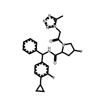 Cc1nnnn1CC(=O)N1CC(F)CC1C(=O)NC(c1ccccc1)c1ccc(C2CC2)c(F)c1